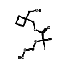 O=C(OCC1(CO)CCC1)C(F)(F)SOOO